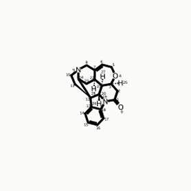 O=C1C[C@@H]2OCC=C3CN4CC[C@]56c7ccccc7N1[C@H]5[C@H]2[C@H]3CC46